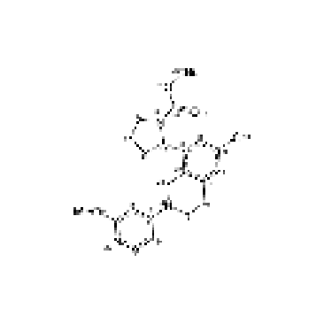 COc1cc(N2CCc3cc(Cl)cc([C@@H]4CCCN4C(=O)OC(C)(C)C)c3C2)ccn1